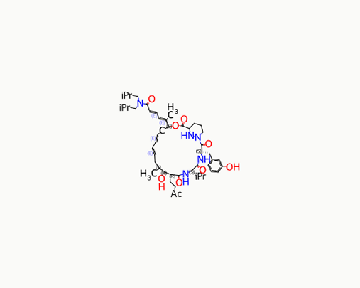 CC(=O)CC[C@H]1C(=O)N[C@@H](C(C)C)C(=O)N[C@@H](Cc2cccc(O)c2)C(=O)N2CCCC(N2)C(=O)O[C@H](/C(C)=C/C=C/C(=O)N(CC(C)C)CC(C)C)C/C=C/C=C/C[C@H](C)[C@H]1O